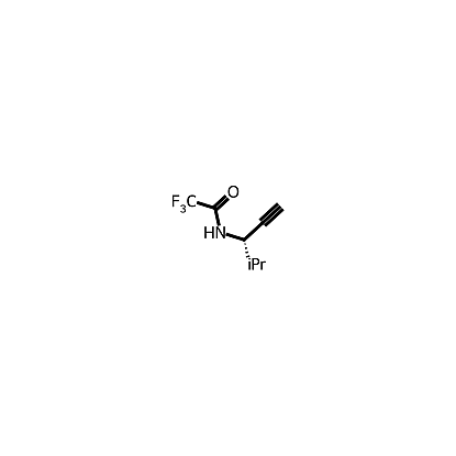 C#C[C@@H](NC(=O)C(F)(F)F)C(C)C